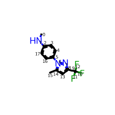 CNc1ccc(-n2nc(C(F)(F)F)cc2C)cc1